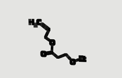 C=CCOC(=O)CCOCC